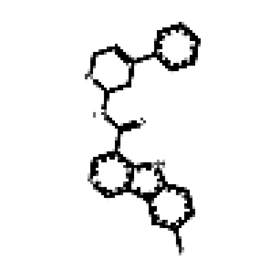 O=C(NC1CC(c2ccccc2)=CCN1)c1cncc2c1[nH]c1ccc(F)cc12